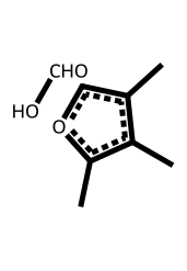 Cc1coc(C)c1C.O=CO